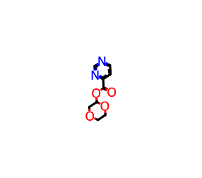 O=C(OC1COCCO1)c1ccncn1